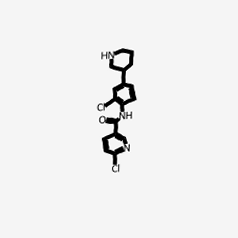 O=C(Nc1ccc(C2CCCNC2)cc1Cl)c1ccc(Cl)nc1